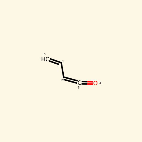 [CH]=CC=C=O